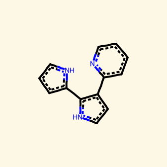 c1ccc(-c2cc[nH]c2-c2ccc[nH]2)nc1